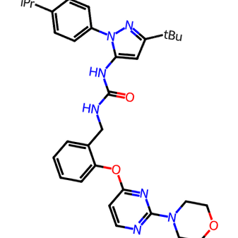 CC(C)c1ccc(-n2nc(C(C)(C)C)cc2NC(=O)NCc2ccccc2Oc2ccnc(N3CCOCC3)n2)cc1